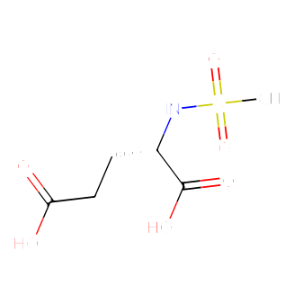 CS(=O)(=O)N[C@@H](CCC(=O)O)C(=O)O